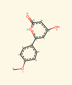 COc1ccc(-c2cc(O)cc(=O)o2)cc1